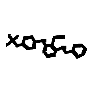 N=Cc1c(NCc2ccccc2)ncnc1Nc1ccc(OC(F)(F)F)cc1